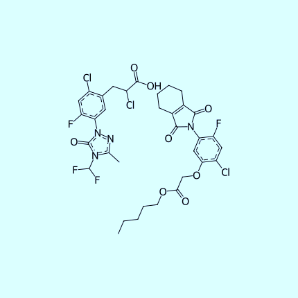 CCCCCOC(=O)COc1cc(N2C(=O)C3=C(CCCC3)C2=O)c(F)cc1Cl.Cc1nn(-c2cc(CC(Cl)C(=O)O)c(Cl)cc2F)c(=O)n1C(F)F